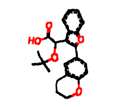 CC(C)(C)OC(C(=O)O)c1c(-c2ccc3c(c2)CCCO3)oc2ccccc12